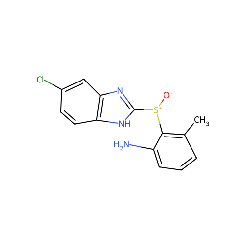 Cc1cccc(N)c1[S+]([O-])c1nc2cc(Cl)ccc2[nH]1